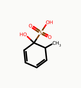 CC1C=CC=CC1(O)S(=O)(=O)O